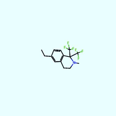 CCc1ccc2c(c1)CCN(C)C2(C(F)(F)F)C(F)(F)F